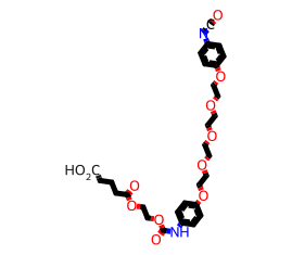 O=C=Nc1ccc(OCCOCCOCCOCCOc2ccc(NC(=O)OCCOC(=O)CCCC(=O)O)cc2)cc1